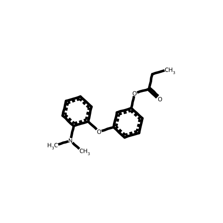 CCC(=O)Oc1cccc(Oc2ccccc2N(C)C)c1